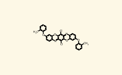 Cc1ccccc1Oc1ccc2c(c1)Oc1c(Cl)c3c(c(Cl)c1=N2)Oc1cc(Oc2ccccc2C)ccc1N=3